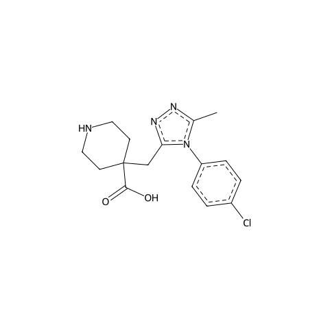 Cc1nnc(CC2(C(=O)O)CCNCC2)n1-c1ccc(Cl)cc1